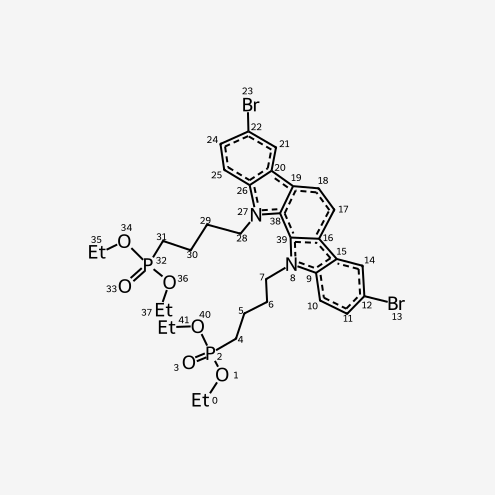 CCOP(=O)(CCCCn1c2ccc(Br)cc2c2ccc3c4cc(Br)ccc4n(CCCCP(=O)(OCC)OCC)c3c21)OCC